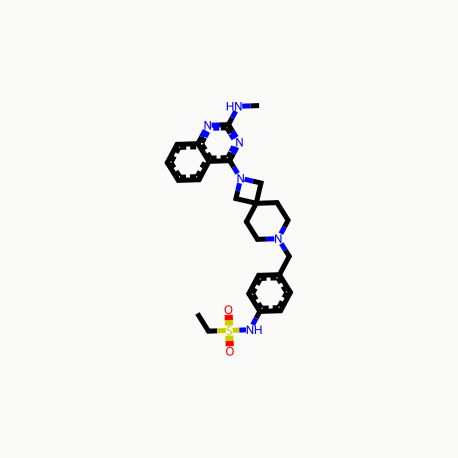 CCS(=O)(=O)Nc1ccc(CN2CCC3(CC2)CN(c2nc(NC)nc4ccccc24)C3)cc1